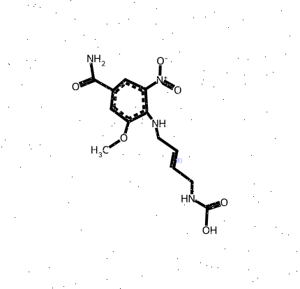 COc1cc(C(N)=O)cc([N+](=O)[O-])c1NC/C=C/CNC(=O)O